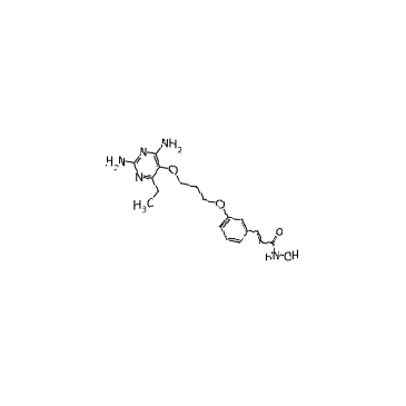 CCc1nc(N)nc(N)c1OCCCOc1cccc(C=CC(=O)NO)c1